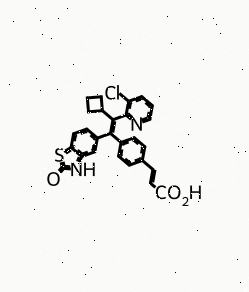 O=C(O)/C=C/c1ccc(/C(=C(\c2ncccc2Cl)C2CCC2)c2ccc3sc(=O)[nH]c3c2)cc1